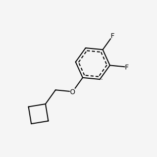 Fc1[c]c(OCC2CCC2)ccc1F